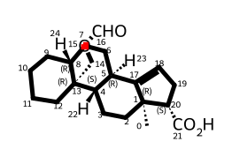 C[C@]12CC[C@H]3[C@@H](CC[C@H]4CCCC[C@@]43COC=O)C1=CC[C@@H]2C(=O)O